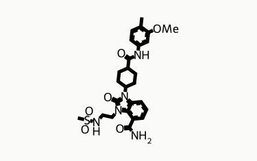 COc1cc(NC(=O)C2CCC(n3c(=O)n(CCNS(C)(=O)=O)c4c(C(N)=O)cccc43)CC2)ccc1C